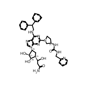 NC(=O)CC(O)[C@@H]1C[C@@H](n2cnc3c(NCC(c4ccccc4)c4ccccc4)nc(N4CC[C@@H](NC(=O)NCc5ccccn5)C4)nc32)[C@H](O)[C@@H]1O